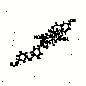 C[C@]12C=CC(O)C=C1CC[C@H]1[C@@H]3C[C@H]4O[C@@H](c5ccc(Sc6cccc(N)c6)cc5)O[C@@]4(C(=O)CO)[C@@]3(C)C[C@H](O)[C@@]12F